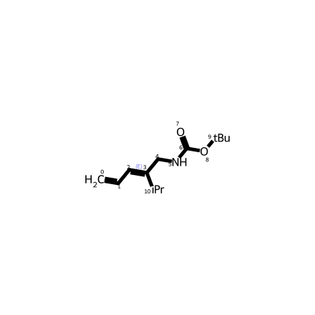 C=C/C=C(/CNC(=O)OC(C)(C)C)C(C)C